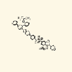 CC(C)Oc1ccccc1[C@@H]1CN(c2cccnc2)CCN1C1CC2(CCN(c3ccc(C(=O)NS(=O)(=O)c4cc5c(c([N+](=O)[O-])c4)N[C@H](C4CCOCC4)CO5)cc3)CC2)C1